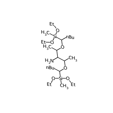 CCCCC(OC(C)C(N)C(C)OC(CCCC)[Si](C)(OCC)OCC)[Si](C)(OCC)OCC